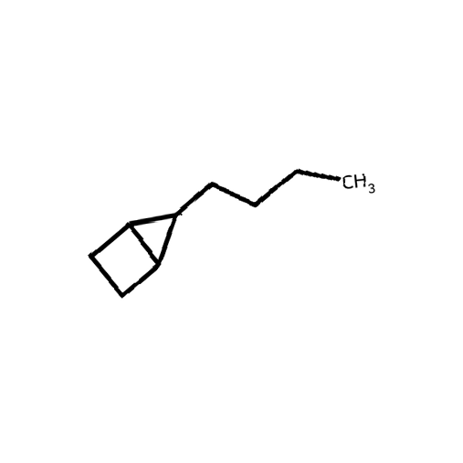 CCCC[C]1C2CCC12